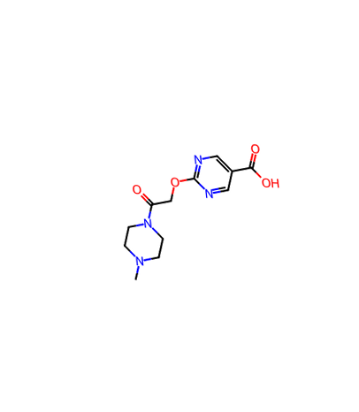 CN1CCN(C(=O)COc2ncc(C(=O)O)cn2)CC1